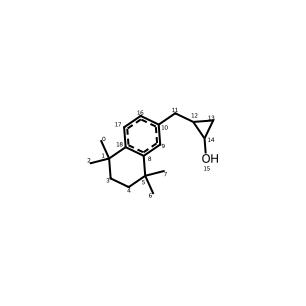 CC1(C)CCC(C)(C)c2cc(CC3CC3O)ccc21